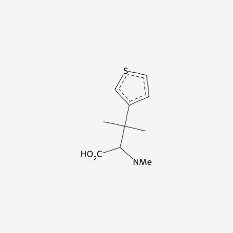 CNC(C(=O)O)C(C)(C)c1ccsc1